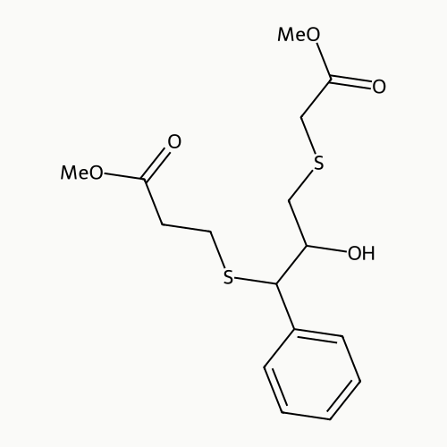 COC(=O)CCSC(c1ccccc1)C(O)CSCC(=O)OC